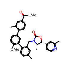 COC(=O)c1ccc(-c2ccc(OC)c(-c3ccc(C)cc3CN3C(=O)O[C@H](c4ccnc(C)c4)[C@@H]3C)c2)c(C)c1